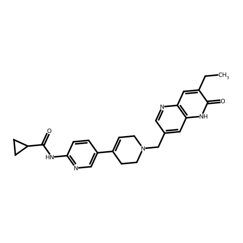 CCc1cc2ncc(CN3CC=C(c4ccc(NC(=O)C5CC5)nc4)CC3)cc2[nH]c1=O